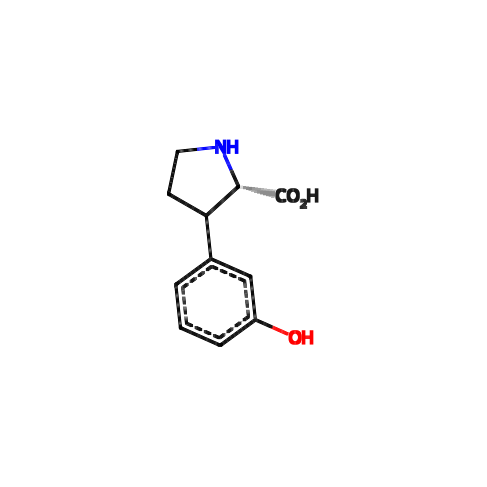 O=C(O)[C@H]1NCCC1c1cccc(O)c1